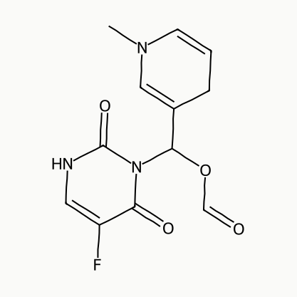 CN1C=CCC(C(OC=O)n2c(=O)[nH]cc(F)c2=O)=C1